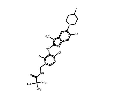 Cn1c(Nc2c(Cl)ccc(CNC(=O)C(C)(C)C)c2F)nc2cc(Cl)c(N3CCC(F)CC3)cc21